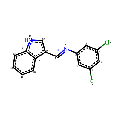 Clc1cc(Cl)cc(/N=C/c2c[nH]c3ccccc23)c1